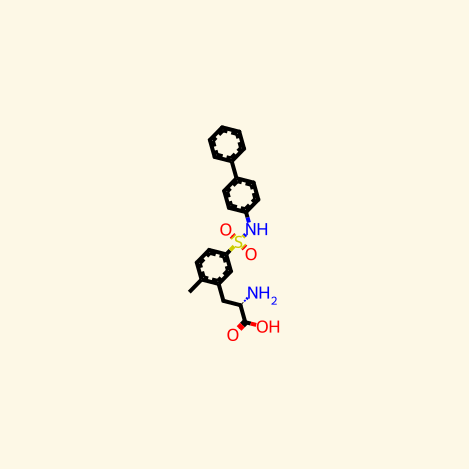 Cc1ccc(S(=O)(=O)Nc2ccc(-c3ccccc3)cc2)cc1C[C@H](N)C(=O)O